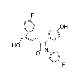 O=C1[C@H](C/C=C(/CO)c2ccc(F)cc2)C(c2ccc(O)cc2)N1c1ccc(F)cc1